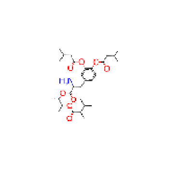 CC(C)CC(=O)Oc1ccc(C[C@H](N)C(=O)O[C@@H](C)C(C)OC(=O)C(C)C(C)C)cc1OC(=O)CC(C)C